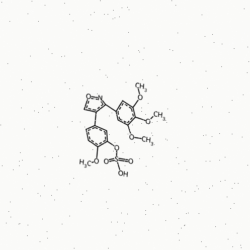 COc1ccc(-c2conc2-c2cc(OC)c(OC)c(OC)c2)cc1OS(=O)(=O)O